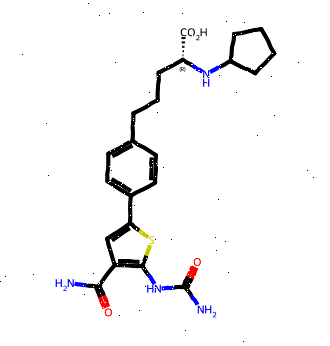 NC(=O)Nc1sc(-c2ccc(CCC[C@@H](NC3CCCC3)C(=O)O)cc2)cc1C(N)=O